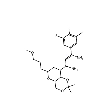 CC1(C)OCC2OC(CCCOF)CC(N(N)/C=C(\N)c3cc(F)c(F)c(F)c3)C2O1